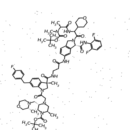 C[C@@H]1COCCN1C[C@H]1CN(C(=O)OC(C)(C)C)[C@H](C)CN1CC(=O)N1C[C@@](C)(C(=O)NCCC(=O)Nc2ccc3c(c2)[C@@H](C(=O)Nc2c(F)cccc2F)N(C(=O)C(NC(=O)[C@H](C)N(C)C(=O)OC(C)(C)C)C2CCOCC2)C3)c2ccc(Cc3ccc(F)cc3)cc21